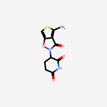 Cc1scc2on(C3CCC(=O)NC3=O)c(=O)c12